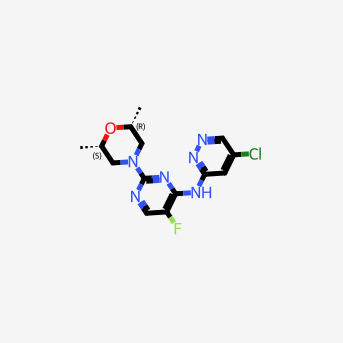 C[C@@H]1CN(c2ncc(F)c(Nc3cc(Cl)cnn3)n2)C[C@H](C)O1